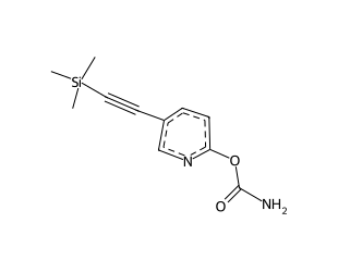 C[Si](C)(C)C#Cc1ccc(OC(N)=O)nc1